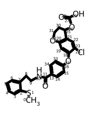 CSc1ccccc1CCNC(=O)c1ccc(Oc2cc3c(cc2Cl)C(OC(=O)O)CCO3)cc1